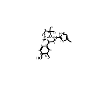 Cc1c[nH]c(NCC(c2ccc(O)c(C)c2)P2(=O)OCC(C)(C)O2)n1